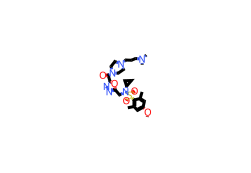 COc1cc(C)c(S(=O)(=O)N(Cc2nnc(C(=O)N3CCN(CCCN(C)C)CC3)o2)C2CC2)c(C)c1